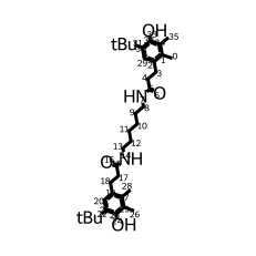 Cc1c(CCC(=O)NCCCCCCNC(=O)CCc2cc(C(C)(C)C)c(O)c(C)c2C)cc(C(C)(C)C)c(O)c1C